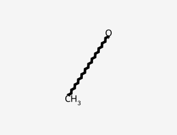 CCCCCCCCCCCCCCCCCCCCCCCC[C]=O